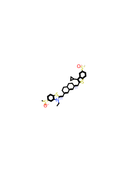 CCN1/C(=C/C2=CC3=C/C(=C/c4sc5ccc([S+](C)[O-])cc5c4C4CC4)CCC3CC2)Sc2ccc([S+](C)[O-])cc21